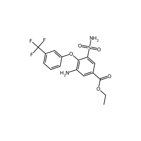 CCOC(=O)c1cc(N)c(Oc2cccc(C(F)(F)F)c2)c(S(N)(=O)=O)c1